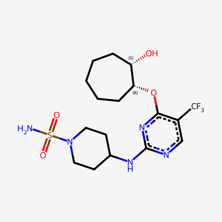 NS(=O)(=O)N1CCC(Nc2ncc(C(F)(F)F)c(O[C@@H]3CCCCC[C@@H]3O)n2)CC1